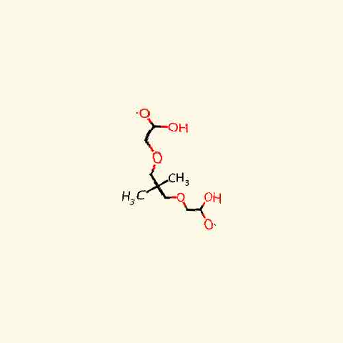 CC(C)(COCC([O])O)COCC([O])O